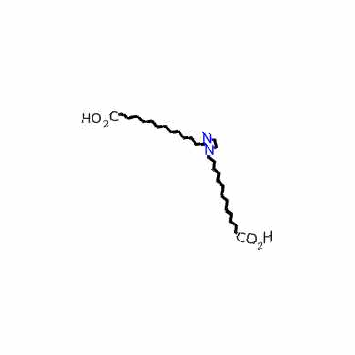 O=C(O)CCCCCCCCCCCCCN1CCN=C1CCCCCCCCCCCCC(=O)O